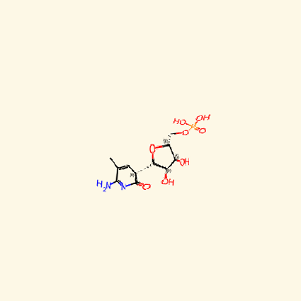 CC1=C[C@H](C2O[C@H](COP(=O)(O)O)[C@@H](O)[C@H]2O)C(=O)N=C1N